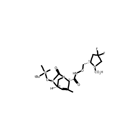 CC1=C[C@@H]2CN(C(=O)N2O[Si](C)(C)C(C)(C)C)[C@@H]1C(=O)NOC[C@@H]1CC(F)(F)CN1C(=O)O